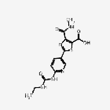 CCNC(=O)Nc1ccc(-c2nc(C(=O)NC)c(C(=O)O)s2)cn1